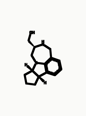 OC[C@H]1CN2c3c(cccc3[C@@H]3CCC[C@@H]32)CN1